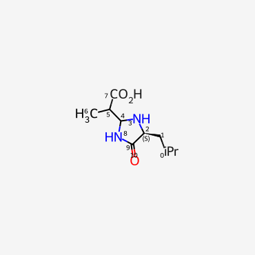 CC(C)C[C@@H]1NC(C(C)C(=O)O)NC1=O